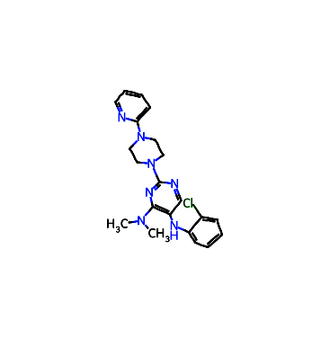 CN(C)c1nc(N2CCN(c3ccccn3)CC2)ncc1Nc1ccccc1Cl